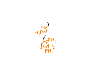 CCPCP(P)CCP(CP(C)P(P)P)PP